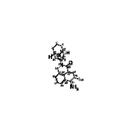 CN1[C@@H]2CCC[C@H]1C[C@H](N1Cc3cccc4c(N)c(I)cc(c34)C1=O)C2